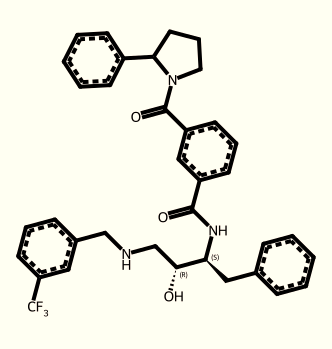 O=C(N[C@@H](Cc1ccccc1)[C@H](O)CNCc1cccc(C(F)(F)F)c1)c1cccc(C(=O)N2CCCC2c2ccccc2)c1